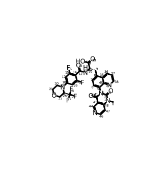 Cn1c(=O)n(-c2ccc(C[C@H](NC(=O)c3c(F)cc(N4CCOC[C@@H]4C(F)(F)F)cc3F)C(=O)O)c3cccnc23)c(=O)c2cnccc21